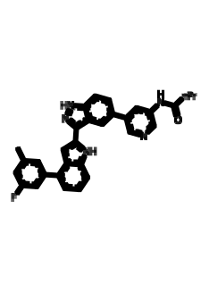 CCCC(=O)Nc1cncc(-c2ccc3[nH]nc(-c4cc5c(-c6cc(C)cc(F)c6)cccc5[nH]4)c3c2)c1